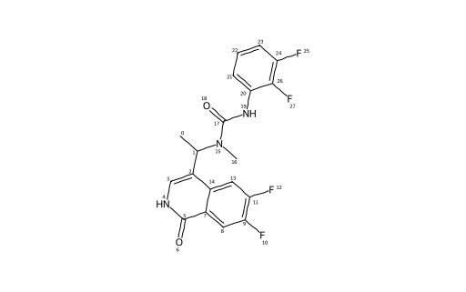 CC(c1c[nH]c(=O)c2cc(F)c(F)cc12)N(C)C(=O)Nc1cccc(F)c1F